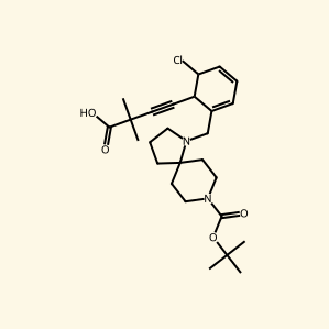 CC(C)(C)OC(=O)N1CCC2(CCCN2CC2=CC=CC(Cl)C2C#CC(C)(C)C(=O)O)CC1